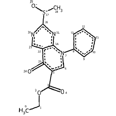 CCOC(=O)c1cn(-c2ccccc2)c2nc([S+](C)[O-])ncc2c1=O